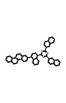 c1ccc2cc(-c3nc(-c4ccc5ccccc5c4)nc(-c4ccc(-c5ccc6c(ccc7c8ccccc8ccc67)c5)c5ccccc45)n3)ccc2c1